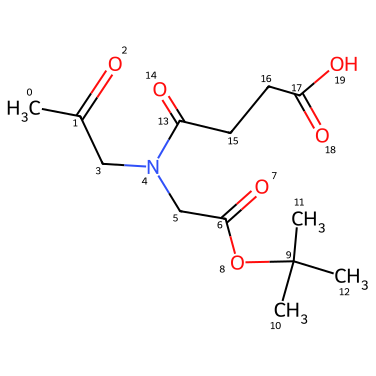 CC(=O)CN(CC(=O)OC(C)(C)C)C(=O)CCC(=O)O